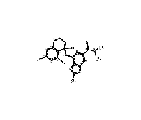 Cc1nc2c(OC3(O)CCOc4cc(F)cc(F)c43)cc(C(=O)N(C)C)cc2[nH]1